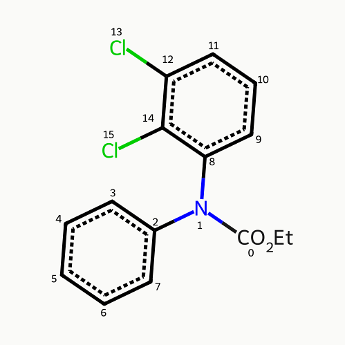 [CH2]COC(=O)N(c1ccccc1)c1cccc(Cl)c1Cl